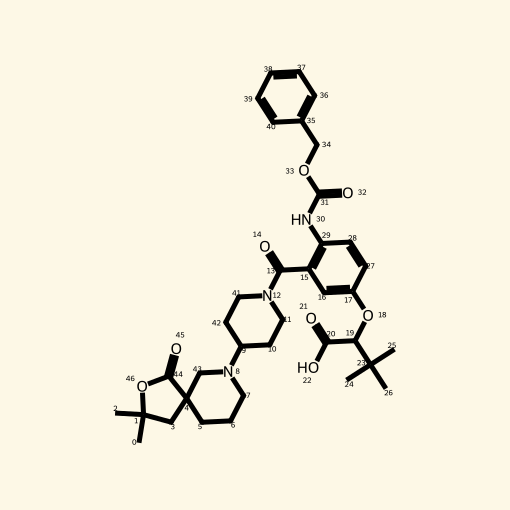 CC1(C)CC2(CCCN(C3CCN(C(=O)c4cc(OC(C(=O)O)C(C)(C)C)ccc4NC(=O)OCc4ccccc4)CC3)C2)C(=O)O1